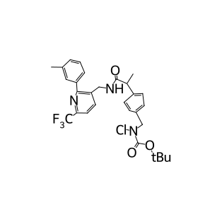 Cc1cccc(-c2nc(C(F)(F)F)ccc2CNC(=O)C(C)c2ccc(CN(Cl)C(=O)OC(C)(C)C)cc2)c1